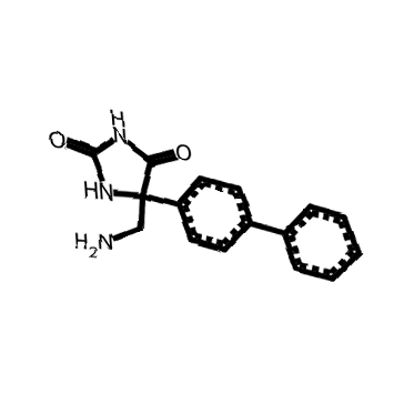 NCC1(c2ccc(-c3ccccc3)cc2)NC(=O)NC1=O